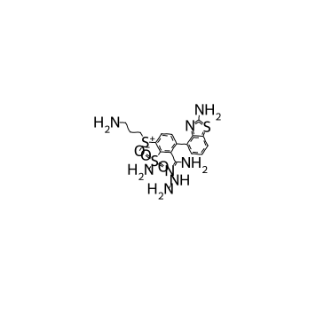 NCCC[S+]([O-])c1ccc(-c2cccc3sc(N)nc23)c(/C(N)=N/NN)c1S(N)(=O)=O